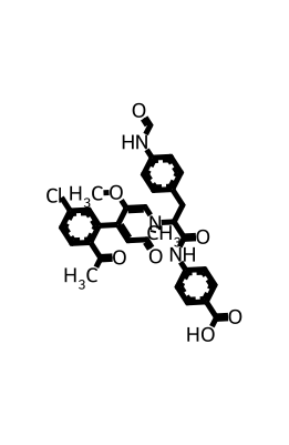 COC(=C/N(C)C(Cc1ccc(NC=O)cc1)C(=O)Nc1ccc(C(=O)O)cc1)/C(=C\C=O)c1cc(Cl)ccc1C(C)=O